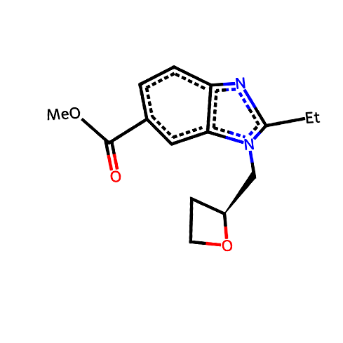 CCc1nc2ccc(C(=O)OC)cc2n1C[C@@H]1CCO1